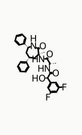 C[C@H](NC(=O)[C@H](O)c1cc(F)cc(F)c1)C(=O)N[C@@]1(C)C[C@H](c2ccccc2)C[C@H](c2ccccc2)NC1=O